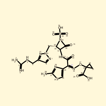 N=C(N)NCc1cnn(C[C@H]2C(NC(=O)/C(=N\OC3(C(=O)O)CC3)c3csc(N)n3)C(=O)N2S(=O)(=O)O)n1